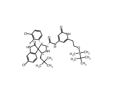 CC(C)(C)C[C@@H]1N[C@@H](C(=O)Nc2cc(CCO[Si](C)(C)C(C)(C)C)[nH]c(=O)c2)[C@@H](c2cccc(Cl)c2F)C12C(=O)Nc1cc(Cl)ccc12